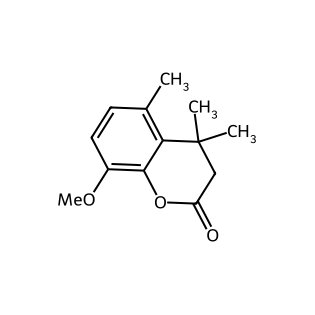 COc1ccc(C)c2c1OC(=O)CC2(C)C